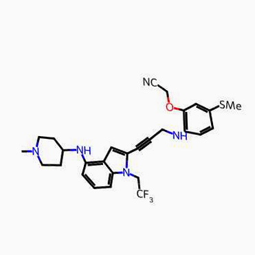 CSc1ccc(NCC#Cc2cc3c(NC4CCN(C)CC4)cccc3n2CC(F)(F)F)c(OCC#N)c1